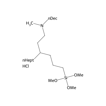 CCCCCCCCCCN(C)CCC(CCCCCCC)CCC[Si](OC)(OC)OC.Cl